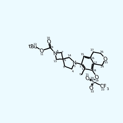 Cc1c(N2CCC3(CN(C(=O)OC(C)(C)C)C3)C2)cc2c(c1OS(=O)(=O)C(F)(F)F)COCC2